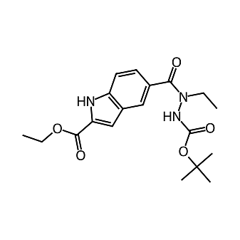 CCOC(=O)c1cc2cc(C(=O)N(CC)NC(=O)OC(C)(C)C)ccc2[nH]1